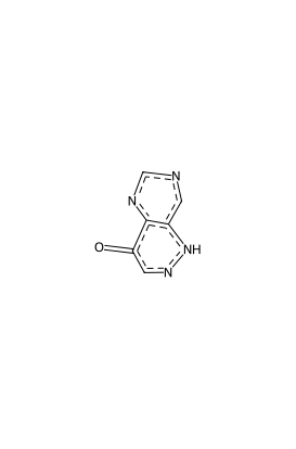 O=c1cn[nH]c2cncnc12